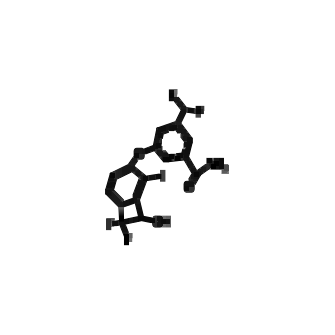 NC(=O)c1cc(OC2=C=C=C3C(=C2I)C(O)C3(F)F)cc(C(F)F)c1